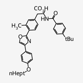 CCCCCCCOc1ccc(-c2coc(-c3ccc(CC(NC(=O)c4ccc(C(C)(C)C)cc4)C(=O)O)cc3C)n2)cc1